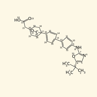 CC(C)(C)c1cnc(Nc2ccc(-c3ccc(C45CCC(CC(=O)O)(CC4)OC5)cc3)cc2)o1